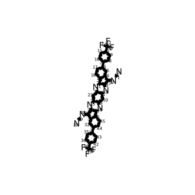 N#C/N=c1\c2cc(-c3ccc(C(F)(F)F)cc3)ccc2c2nc3cc4nc5/c(=N/C#N)c6cc(-c7ccc(C(F)(F)F)cc7)ccc6c5nc4cc3nc12